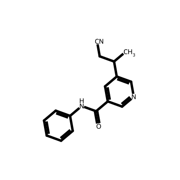 CC(CC#N)c1cncc(C(=O)Nc2ccccc2)c1